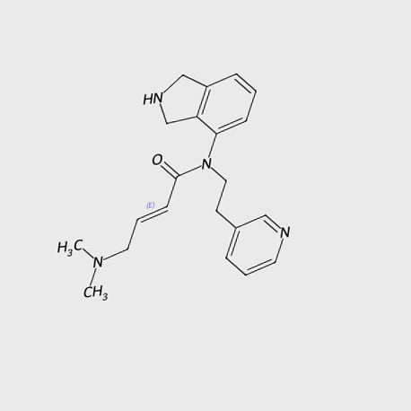 CN(C)C/C=C/C(=O)N(CCc1cccnc1)c1cccc2c1CNC2